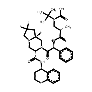 C[C@@H](CN(C(=O)O)C(C)(C)C)C(=O)N[C@H](C(=O)N1C[C@H]2CC(F)(F)CN2C[C@H]1C(=O)N[C@@H]1CCOc2ccccc21)c1ccccc1